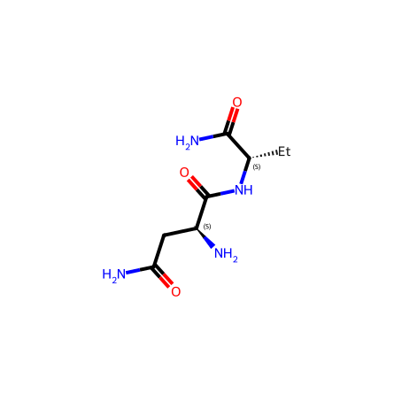 CC[C@H](NC(=O)[C@@H](N)CC(N)=O)C(N)=O